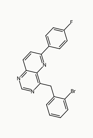 Fc1ccc(-c2ccc3ncnc(Cc4ccccc4Br)c3n2)cc1